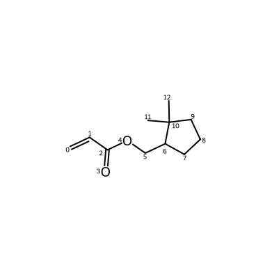 C=CC(=O)OCC1CCCC1(C)C